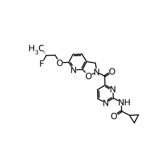 C[C@@H](F)COc1ccc2c(n1)ON(C(=O)c1ccnc(NC(=O)C3CC3)n1)C2